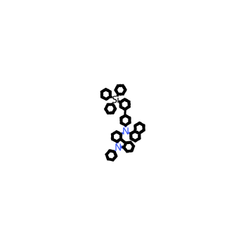 c1ccc(-n2c3ccccc3c3c(N(c4ccc(-c5cccc([Si](c6ccccc6)(c6ccccc6)c6ccccc6)c5)cc4)c4cccc5ccccc45)cccc32)cc1